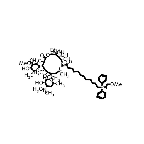 CC[C@H]1OC(=O)[C@H](C)C([C@H]2C[C@@](C)(OC)[C@@H](O)[C@H](C)O2)[C@H](C)[C@@H](O[C@@H]2O[C@H](C)C[C@H](N(C)C)[C@H]2O)[C@](C)(O)C[C@@H](C)CN(C(=O)CCCCCCCCCCC[PH](CCOC)(c2ccccc2)c2ccccc2)[C@H](C)[C@@H](O)[C@]1(C)O